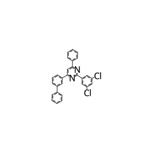 Clc1cc(Cl)cc(-c2nc(-c3ccccc3)cc(-c3cccc(-c4ccccc4)c3)n2)c1